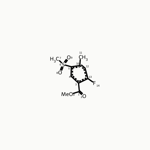 COC(=O)c1cc(S(C)(=O)=O)c(C)cc1F